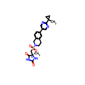 CC1(c2ncc(-c3ccc4c(c3)CCN(S(=O)(=O)C[C@@]3(C)NC(=O)NC3=O)C4)cn2)CC1